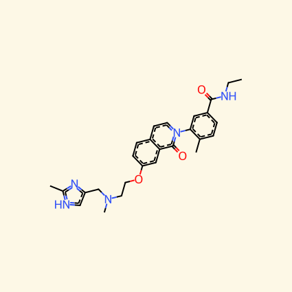 CCNC(=O)c1ccc(C)c(-n2ccc3ccc(OCCN(C)Cc4c[nH]c(C)n4)cc3c2=O)c1